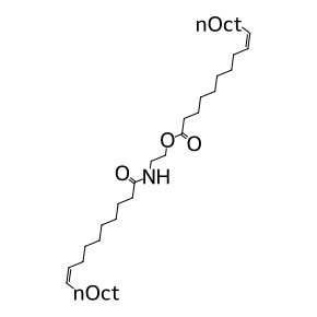 CCCCCCCC/C=C\CCCCCCCC(=O)NCCOC(=O)CCCCCCC/C=C\CCCCCCCC